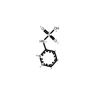 O=S(=O)(O)Nc1cccnn1